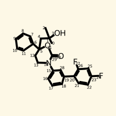 CC(C)(O)CC1(c2ccccc2)CCN(c2cccc(-c3ccc(F)cc3F)c2)C(=O)O1